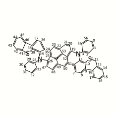 c1ccc(N(c2cccc3c2SCc2ccccc2-3)c2ccc3ccc4c(N(c5ccccc5)c5cccc6c5sc5ccccc56)ccc5ccc2c3c54)cc1